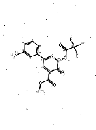 COC(=O)c1cc(-c2cccc(N)c2)cn(OC(=O)C(F)(F)F)c1=O